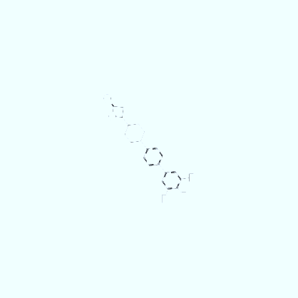 O=C1CC(C2CCC(c3ccc(-c4cc(F)c(F)c(F)c4)cc3)CC2)O1